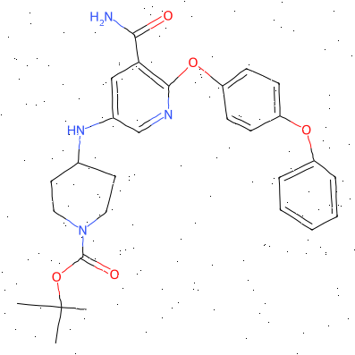 CC(C)(C)OC(=O)N1CCC(Nc2cnc(Oc3ccc(Oc4ccccc4)cc3)c(C(N)=O)c2)CC1